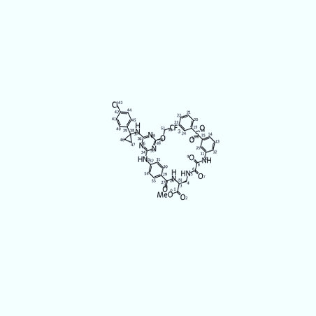 COC(=O)[C@H](CNC(=O)C(=O)Nc1cccc(S(=O)(=O)c2ccccc2)c1)NC(=O)c1ccc(Nc2nc(NC3(c4ccc(Cl)cc4)CC3)nc(OCC(F)(F)F)n2)cc1